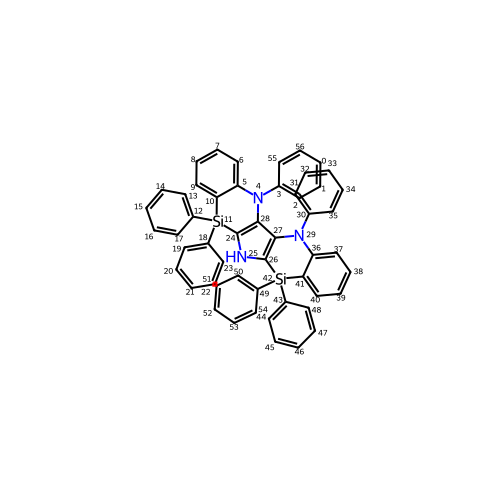 c1ccc(N2c3ccccc3[Si](c3ccccc3)(c3ccccc3)c3[nH]c4c(c32)N(c2ccccc2)c2ccccc2[Si]4(c2ccccc2)c2ccccc2)cc1